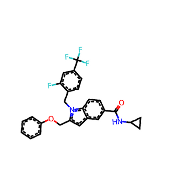 O=C(NC1CC1)c1ccc2c(c1)cc(COc1ccccc1)n2Cc1ccc(C(F)(F)F)cc1F